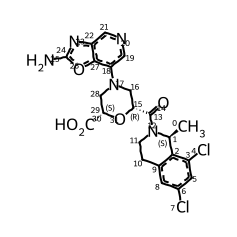 C[C@H]1c2c(Cl)cc(Cl)cc2CCN1C(=O)[C@H]1CN(c2cncc3nc(N)oc23)C[C@@H](C(=O)O)O1